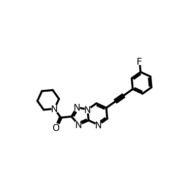 O=C(c1nc2ncc(C#Cc3cccc(F)c3)cn2n1)N1CCCCC1